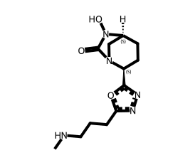 CNCCCc1nnc([C@@H]2CC[C@H]3CN2C(=O)N3O)o1